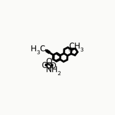 CC#Cc1cc2c(cc1OS(N)(=O)=O)CCC1C2CC[C@]2(C)CCCC12